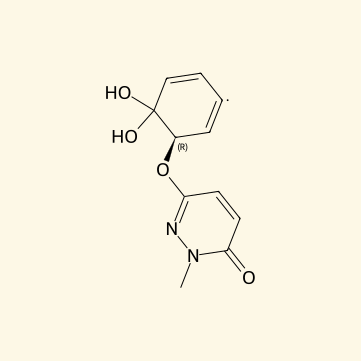 Cn1nc(O[C@@H]2C=[C]C=CC2(O)O)ccc1=O